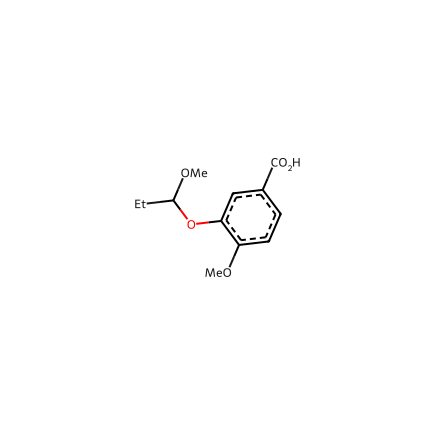 CCC(OC)Oc1cc(C(=O)O)ccc1OC